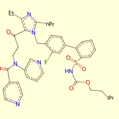 CCCc1nc(CC)c(C(=O)CCN(C(=O)c2ccncc2)c2cccnc2)n1Cc1ccc(-c2ccccc2S(=O)(=O)NC(=O)OCCC(C)C)cc1F